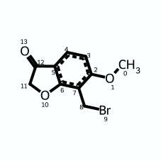 COc1ccc2c(c1CBr)OCC2=O